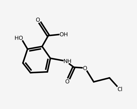 O=C(Nc1cccc(O)c1C(=O)O)OCCCl